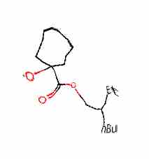 CCCCC(CC)COC(=O)C1([O])CCCCC1